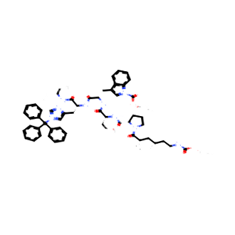 CC(=O)N[C@@H](CCCCNC(=O)OC(C)(C)C)C(=O)N1CCC[C@H]1C(=O)N[C@@H](CC(C)C)C(=O)N[C@@H](Cc1cn(C(=O)OC(C)(C)C)c2ccccc12)C(=O)N[C@@H](Cc1cn(C(c2ccccc2)(c2ccccc2)c2ccccc2)cn1)C(=O)N[C@H](C(=O)O)C(C)C